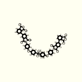 O=C1OC(=O)c2c1cccc2-c1ccc2c(c1)C(=O)N(c1ccc(Oc3ccc(C(c4ccc(Oc5ccc(N6C(=O)c7ccc(-c8cccc9c8C(=O)OC9=O)cc7C6=O)cc5)cc4)(C(F)(F)F)C(F)(F)F)cc3)cc1)C2=O